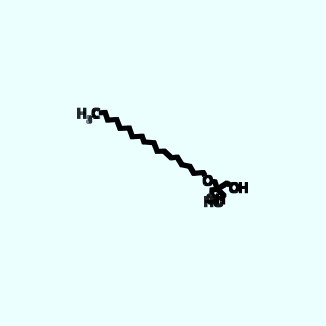 CCCCCCCCCCCCCCCCCCOCC(CO)(CO)CO